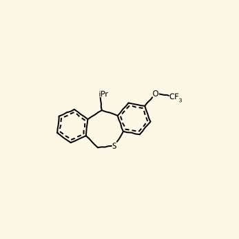 CC(C)C1c2ccccc2CSc2ccc(OC(F)(F)F)cc21